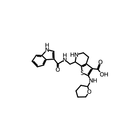 O=C(O)c1c(NC2CCCCO2)sc2c1CCNC2CNC(=O)c1c[nH]c2ccccc12